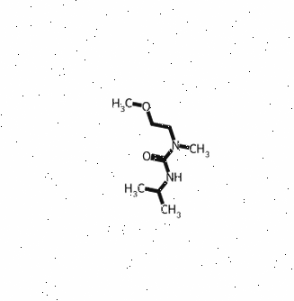 COCCN(C)C(=O)NC(C)C